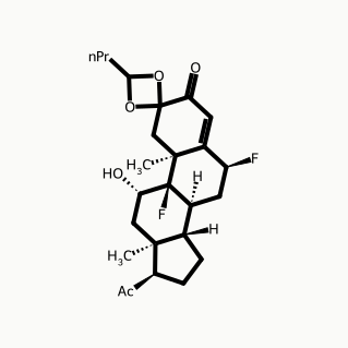 [CH2]C(=O)[C@@H]1CC[C@H]2[C@@H]3C[C@H](F)C4=CC(=O)C5(C[C@]4(C)[C@@]3(F)[C@@H](O)C[C@]12C)OC(CCC)O5